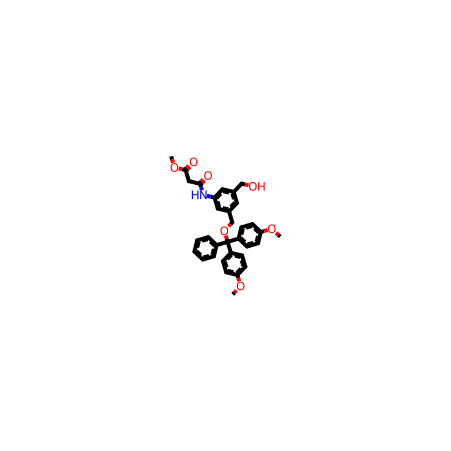 COC(=O)CC(=O)Nc1cc(CO)cc(COC(c2ccccc2)(c2ccc(OC)cc2)c2ccc(OC)cc2)c1